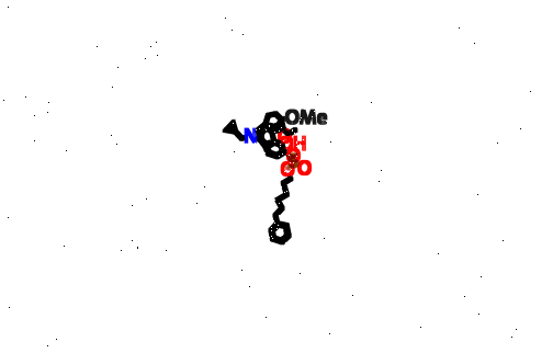 COC12CCC3(CC1C(C)O)C1N(CC4CC4)C14CC31c3c4ccc(OS(=O)OCCCCCCc4ccccc4)c3OC21